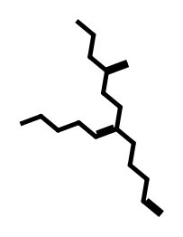 C=CCCCC(=CCCCC)CCC(=C)CCC